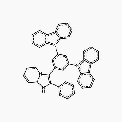 C1=CC2NC(c3ccccc3)=C(c3cc(-n4c5ccccc5c5ccccc54)cc(-n4c5ccccc5c5ccccc54)c3)N2C=C1